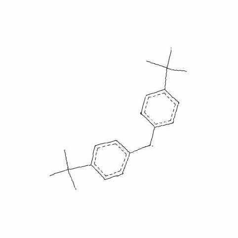 CC(C)(C)c1ccc([CH]c2ccc(C(C)(C)C)cc2)cc1